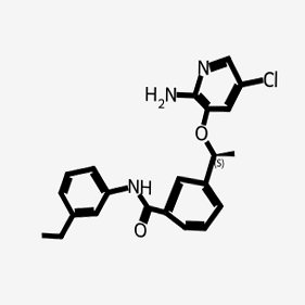 CCc1cccc(NC(=O)c2cccc([C@H](C)Oc3cc(Cl)cnc3N)c2)c1